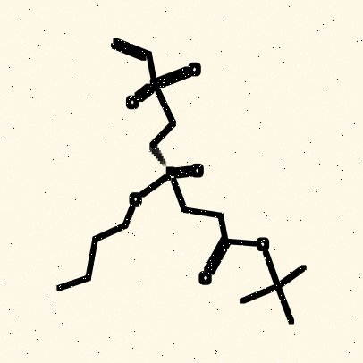 C=CS(=O)(=O)CC[P@](=O)(CCC(=O)OC(C)(C)C)OCCCC